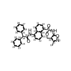 Cc1noc(NS(=O)(=O)c2cccc3c(NC(=O)C(c4ccccc4)c4ccccc4)cccc23)c1C